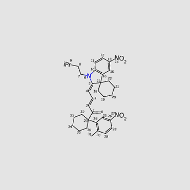 C=C(/C=C/C=C1/N(CCC(C)C)c2ccc([N+](=O)[O-])cc2C12CCCCC2)C1(c2cc([N+](=O)[O-])ccc2C)CCCCC1